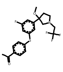 COC1(c2cc(F)cc(Sc3ccc(C(C)=O)cc3)c2)CCN(CC(F)(F)F)C1